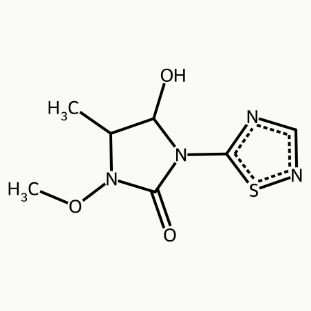 CON1C(=O)N(c2ncns2)C(O)C1C